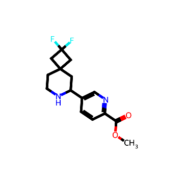 COC(=O)c1ccc(C2CC3(CCN2)CC(F)(F)C3)cn1